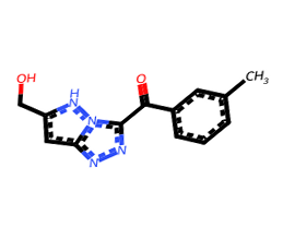 Cc1cccc(C(=O)c2nnc3cc(CO)[nH]n23)c1